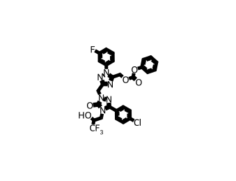 O=C(OCc1nc(Cn2nc(-c3ccc(Cl)cc3)n(CC(O)C(F)(F)F)c2=O)nn1-c1cccc(F)c1)Oc1ccccc1